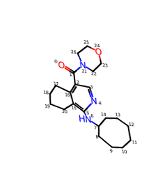 O=C(c1cnc(NC2CCCCCCC2)c2c1CCCC2)N1CCOCC1